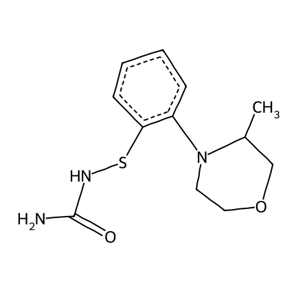 CC1COCCN1c1ccccc1SNC(N)=O